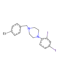 CCc1ccc(CN2CCN(c3ccc(I)cc3I)CC2)cc1